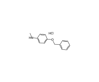 CNc1ccc(OCc2ccccc2)cc1.Cl